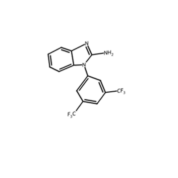 Nc1nc2ccccc2n1-c1cc(C(F)(F)F)cc(C(F)(F)F)c1